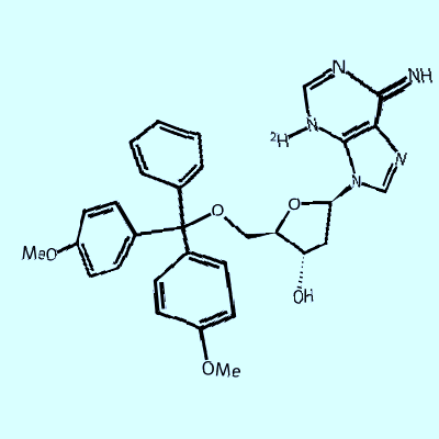 [2H]n1cnc(=N)c2ncn([C@H]3C[C@H](O)[C@@H](COC(c4ccccc4)(c4ccc(OC)cc4)c4ccc(OC)cc4)O3)c21